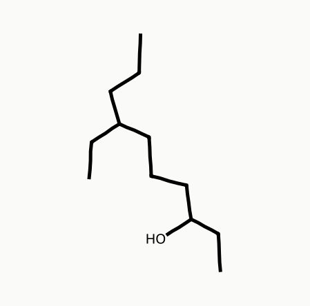 CCCC(CC)CCCC(O)CC